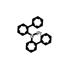 CC(C)N(c1ccccc1-c1ccccc1)c1ccccc1-c1ccccc1